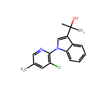 CC(O)(c1cn(-c2ncc(C(F)(F)F)cc2Cl)c2ccccc12)C(F)(F)F